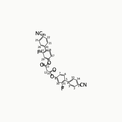 N#Cc1ccc(-c2ccc(OC(=O)CC(=O)Oc3ccc(-c4ccc(C#N)cc4)c(F)c3)cc2F)cc1